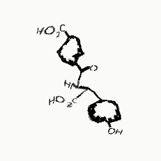 O=C(O)c1ccc(C(=O)N[C@@H](Cc2ccc(O)cc2)C(=O)O)cc1